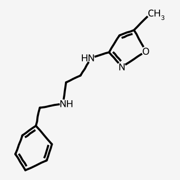 Cc1cc(NCCNCc2ccccc2)no1